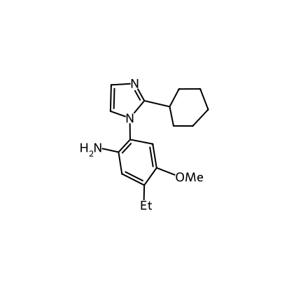 CCc1cc(N)c(-n2ccnc2C2CCCCC2)cc1OC